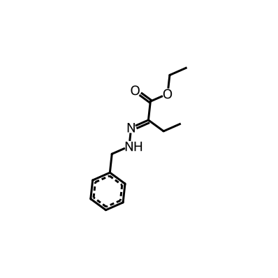 CCOC(=O)/C(CC)=N/NCc1ccccc1